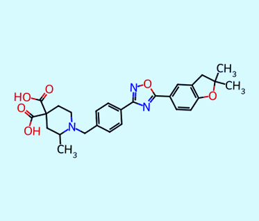 CC1CC(C(=O)O)(C(=O)O)CCN1Cc1ccc(-c2noc(-c3ccc4c(c3)CC(C)(C)O4)n2)cc1